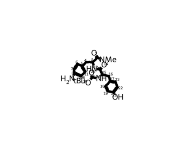 CNC(=O)C(Cc1ccc(N)cc1)NC(=O)C(Cc1ccc(O)cc1)NC(=O)OC(C)(C)C